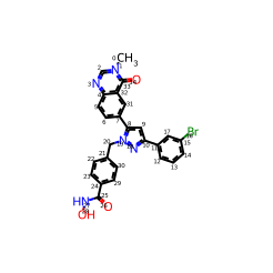 Cn1cnc2ccc(-c3cc(-c4cccc(Br)c4)nn3Cc3ccc(C(=O)NO)cc3)cc2c1=O